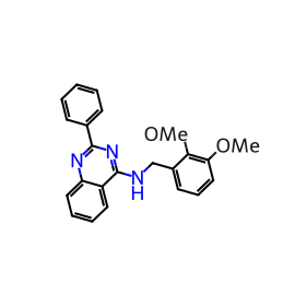 COc1cccc(CNc2nc(-c3ccccc3)nc3ccccc23)c1OC